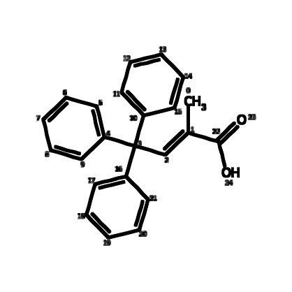 C/C(=C\C(c1ccccc1)(c1ccccc1)c1ccccc1)C(=O)O